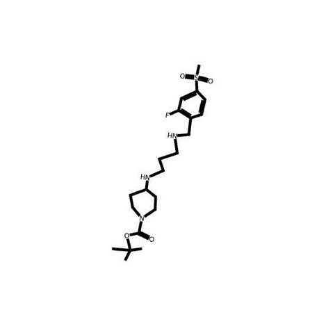 CC(C)(C)OC(=O)N1CCC(NCCCNCc2ccc(S(C)(=O)=O)cc2F)CC1